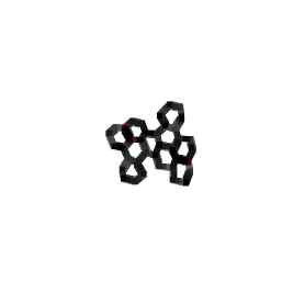 c1ccc(-c2ccccc2-c2c3ccccc3c(-c3ccccc3-c3ccccc3)c3cc4ccccc4cc23)cc1